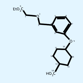 CCOC(=O)COCc1cccc(OC2CCC(C(=O)O)CC2)c1